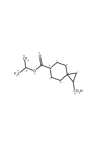 O=C(O)C1CC12CCN(C(=O)OC(C(F)(F)F)C(F)(F)F)CC2